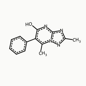 Cc1nc2nc(O)c(-c3ccccc3)c(C)n2n1